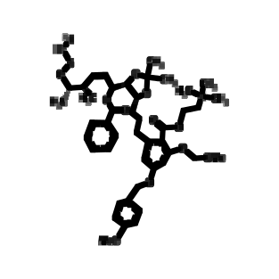 [3H]PSO[C@@H](C)[C@H](C)/C=C\C(OC(=O)c1ccccc1)[C@H]1OC(C)(C)O[C@H]1CCCc1cc(OCc2ccc(OC)cc2)cc(OCOC)c1C(=O)OCC[Si](C)(C)C